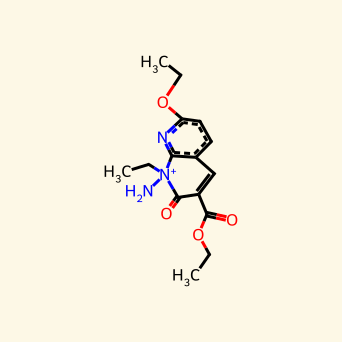 CCOC(=O)C1=Cc2ccc(OCC)nc2[N+](N)(CC)C1=O